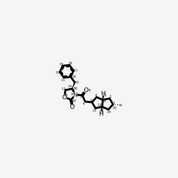 C[C@H]1C[C@H]2CC(CC(=O)N3C(=O)OC[C@H]3Cc3ccccc3)C[C@H]2C1